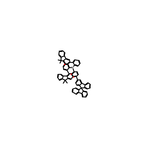 CC1(C)c2ccccc2-c2cc(-c3ccccc3N(c3ccc(-c4ccc5c(c4)-c4ccccc4C54c5ccccc5-c5ccccc54)cc3)c3ccccc3-c3cccc4c3-c3ccccc3C4(C)C)ccc21